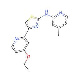 CCOc1ccnc(-c2csc(Nc3cc(C)ccn3)n2)c1